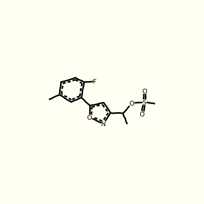 Cc1ccc(F)c(-c2cc(C(C)OS(C)(=O)=O)no2)c1